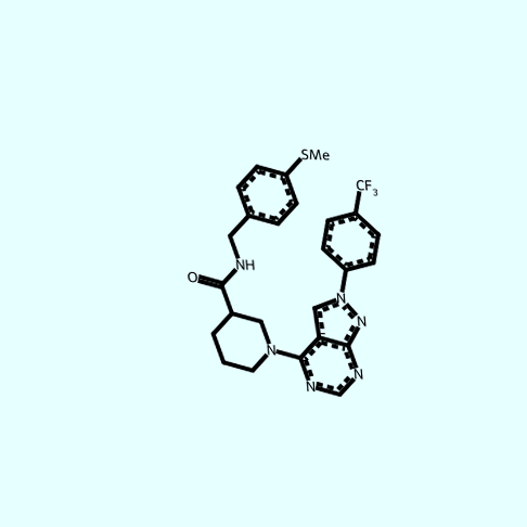 CSc1ccc(CNC(=O)C2CCCN(c3ncnc4nn(-c5ccc(C(F)(F)F)cc5)cc34)C2)cc1